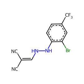 N#CC(C#N)=CNNc1ccc(C(F)(F)F)cc1Br